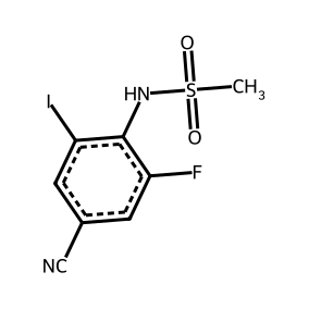 CS(=O)(=O)Nc1c(F)cc(C#N)cc1I